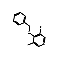 Fc1cncc(F)c1OCc1ccccc1